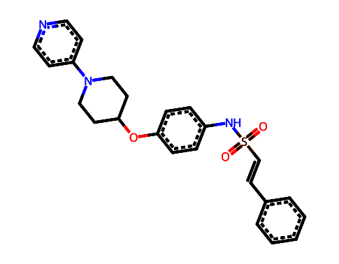 O=S(=O)(/C=C/c1ccccc1)Nc1ccc(OC2CCN(c3ccncc3)CC2)cc1